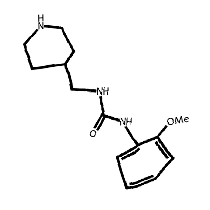 COc1ccccc1NC(=O)NCC1CCNCC1